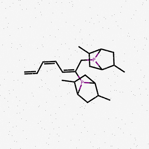 C=C/C=C\C=C(/CP1C2CC(C)C1CC2C)P1C2CC(C)C1CC2C